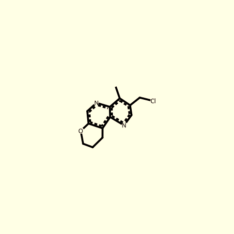 Cc1c(CCl)cnc2c3c(cnc12)OCCC3